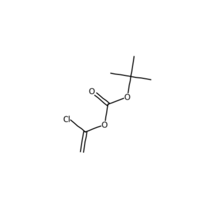 C=C(Cl)OC(=O)OC(C)(C)C